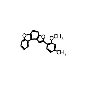 COc1cc(C)ccc1-c1cc2c(ccc3oc4ccccc4c32)o1